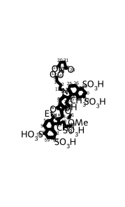 CC[N+]1=C(/C=C2\C(=O)C(/C=C3/N(CCCC(=O)ON4C(=O)CCC4=O)c4ccc5c(S(=O)(=O)O)cc(S(=O)(=O)O)cc5c4C3(C)CCOCCOC)=C2O)C(C)(CCCS(=O)(=O)O)c2c1ccc1c(S(=O)(=O)O)cc(S(=O)(=O)O)cc21